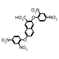 O=C(O)c1cc2cc(Oc3ccc([N+](=O)[O-])cc3[N+](=O)[O-])ccc2cc1Oc1ccc([N+](=O)[O-])cc1[N+](=O)[O-]